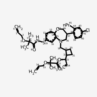 C=CCOC(C)(C)C(=O)NSc1ccc2c(c1)N(CC1CCC1C(C=C)OC(=O)C(C)(C)OCC=C)CC(c1ccc(Cl)cc1CCC)CO2